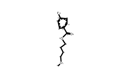 COCCCCOC(=O)c1ccc(F)cc1